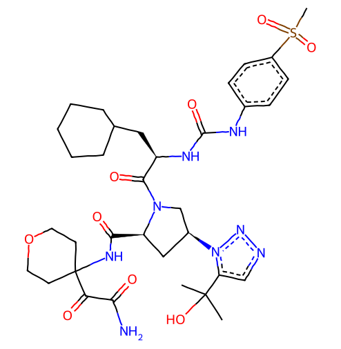 CC(C)(O)c1cnnn1[C@H]1C[C@@H](C(=O)NC2(C(=O)C(N)=O)CCOCC2)N(C(=O)[C@@H](CC2CCCCC2)NC(=O)Nc2ccc(S(C)(=O)=O)cc2)C1